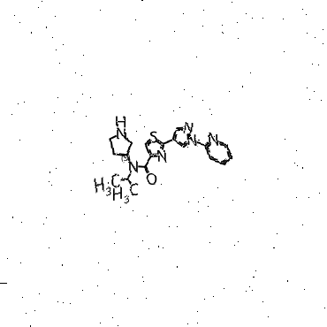 CC(C)N(C(=O)c1csc(-c2cnn(-c3ccccn3)c2)n1)[C@H]1CCNC1